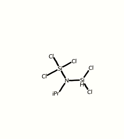 CC(C)N([SiH](Cl)Cl)[Si](Cl)(Cl)Cl